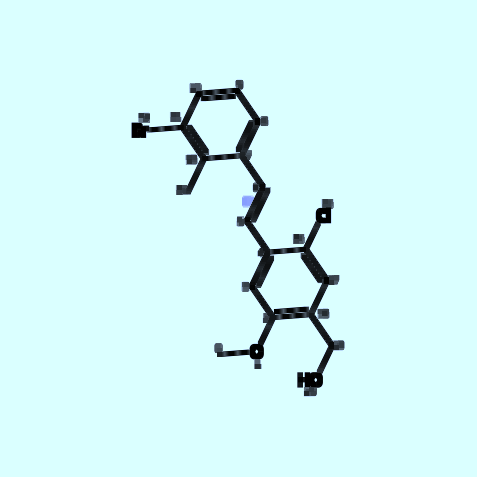 COc1cc(/C=C/c2cccc(Br)c2C)c(Cl)cc1CO